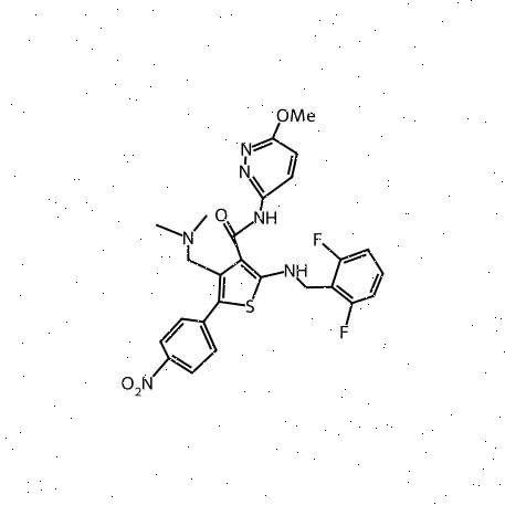 COc1ccc(NC(=O)c2c(NCc3c(F)cccc3F)sc(-c3ccc([N+](=O)[O-])cc3)c2CN(C)C)nn1